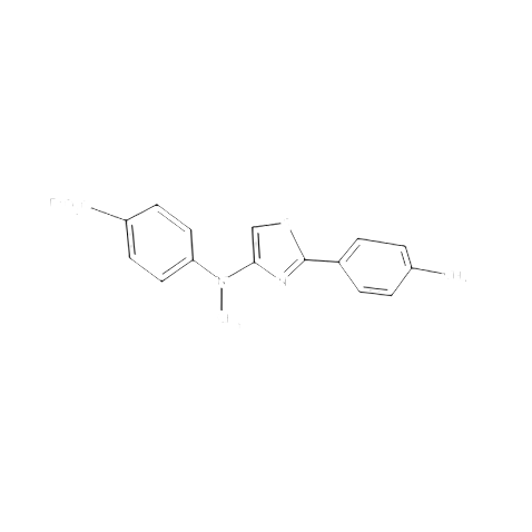 CCOC(=O)c1ccc(N(C)c2csc(-c3ccc(C)cc3)n2)cc1